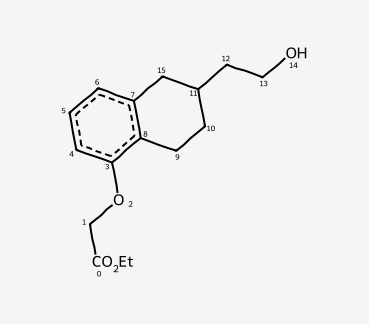 CCOC(=O)COc1cccc2c1CCC(CCO)C2